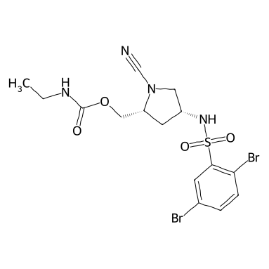 CCNC(=O)OC[C@H]1C[C@@H](NS(=O)(=O)c2cc(Br)ccc2Br)CN1C#N